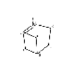 C1CC2CC(=N1)C2